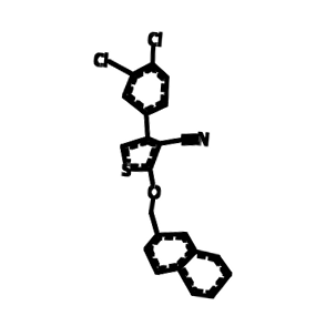 N#Cc1c(-c2ccc(Cl)c(Cl)c2)csc1OCc1ccc2ccccc2c1